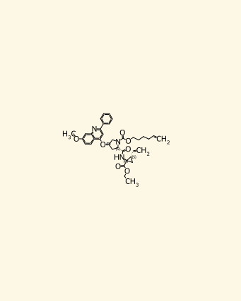 C=CCCCCOC(=O)N1C[C@H](Oc2cc(-c3ccccc3)nc3cc(OC)ccc23)C[C@H]1C(=O)N[C@]1(C(=O)OCC)C[C@H]1C=C